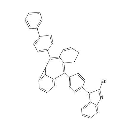 CCc1nc2ccccc2n1-c1ccc(C2=C3CCC=CC3=C(c3ccc(-c4ccccc4)cc3)C3C4C=CC=C2C43)cc1